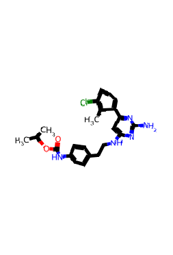 Cc1c(Cl)cccc1-c1cc(NCCc2ccc(NC(=O)OC(C)C)cc2)nc(N)n1